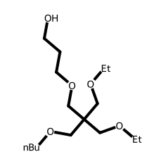 CCCCOCC(COCC)(COCC)COCCCO